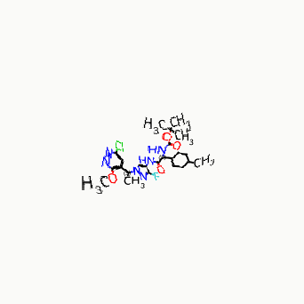 COc1nnc(Cl)cc1[C@H](C)n1cc(NC(=O)[C@@H](NC(=O)OC(C)(C)C)C2CCC(C)CC2)c(F)n1